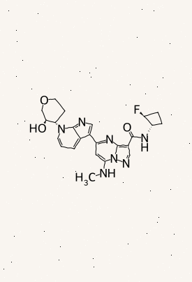 CNc1cc(-c2cnc3n([C@H]4CCOC[C@@H]4O)cccc2-3)nc2c(C(=O)N[C@H]3CC[C@@H]3F)cnn12